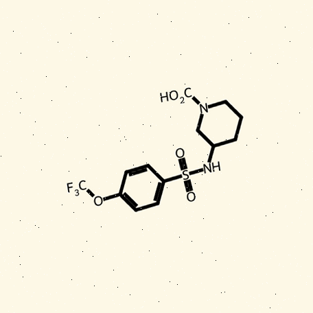 O=C(O)N1CCCC(NS(=O)(=O)c2ccc(OC(F)(F)F)cc2)C1